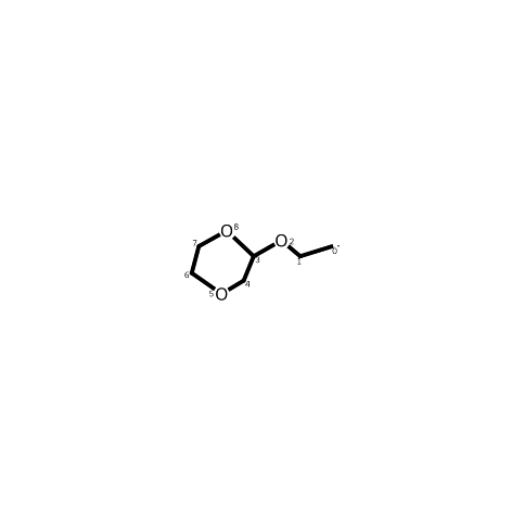 [CH2]COC1COCCO1